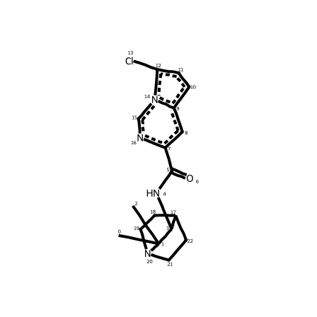 CC1(C)C(NC(=O)c2cc3ccc(Cl)n3cn2)C2CCN1CC2